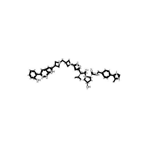 Cc1ncsc1-c1ccc(CNC(=O)[C@@H]2C[C@@H](O)CN2C(=O)[C@H](c2cc(N3CC(CN4CC(c5cc6cc(-c7ccccc7O)nnc6[nH]5)C4)C3)no2)C(C)C)cc1